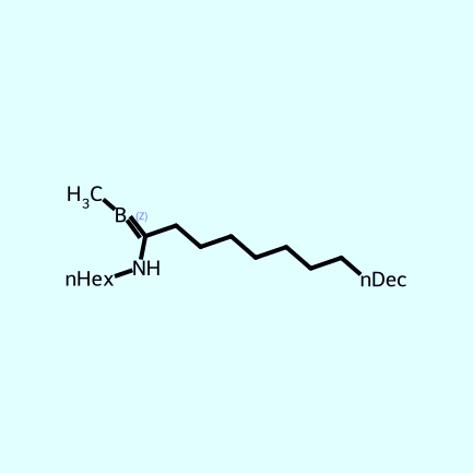 C/B=C(/CCCCCCCCCCCCCCCCC)NCCCCCC